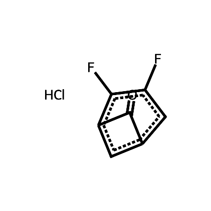 Cl.O=C1c2cc(F)c(F)c1c2